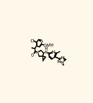 COc1cc(C(C)C(=O)N2C[C@@H](Nc3ccc(-c4ncn(C)n4)c(C)n3)C3(CC3)C2)c(Cl)cn1